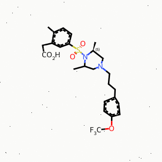 Cc1ccc(S(=O)(=O)N2C(C)CN(CCCc3ccc(OC(F)(F)F)cc3)C[C@@H]2C)cc1CC(=O)O